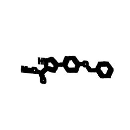 COC(=O)c1cc(-c2ccc(OCc3ccccc3)cc2)c[nH]1